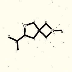 CC(C)C1CC2(CO1)CN(C)C2